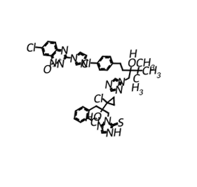 CC(C)(C)C(O)(CCc1ccc(Cl)cc1)Cn1cncn1.OC(Cc1ccccc1Cl)(Cn1nc[nH]c1=S)C1(Cl)CC1.[O-][n+]1nc(-n2ccnc2)nc2ccc(Cl)cc21